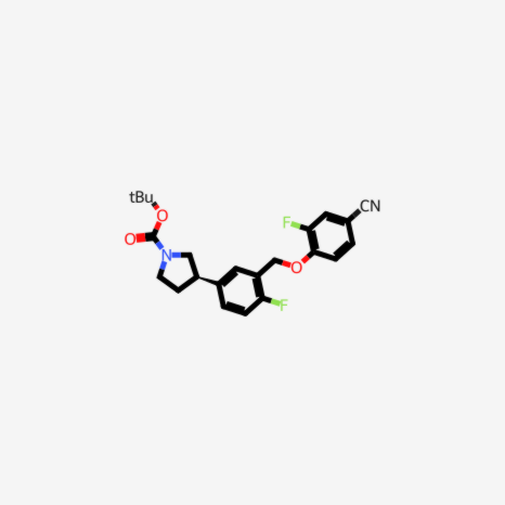 CC(C)(C)OC(=O)N1CC[C@H](c2ccc(F)c(COc3ccc(C#N)cc3F)c2)C1